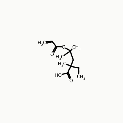 C=CC(=O)OC(C)(C)CC(C)(CC)C(=O)O